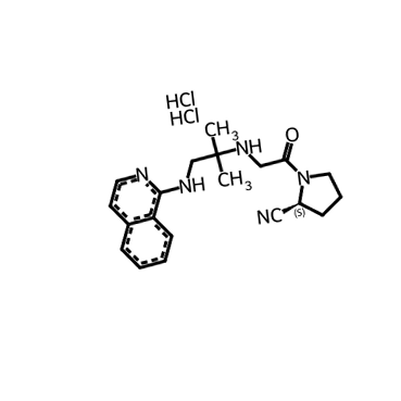 CC(C)(CNc1nccc2ccccc12)NCC(=O)N1CCC[C@H]1C#N.Cl.Cl